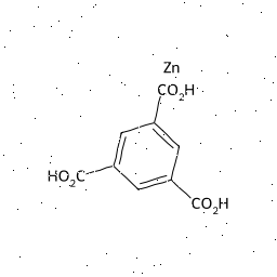 O=C(O)c1cc(C(=O)O)cc(C(=O)O)c1.[Zn]